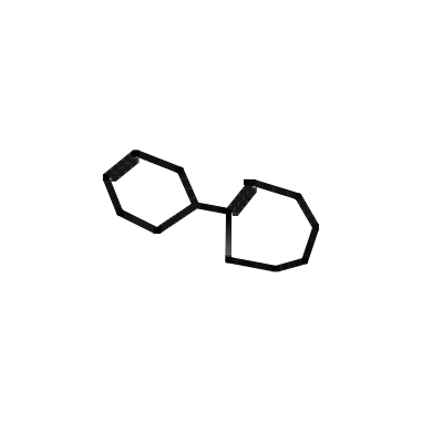 [C]1=C(C2CC=CCC2)CCCCC1